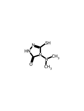 CN(C)n1c(S)n[nH]c1=O